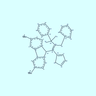 CC(C)(C)c1ccc2c(c1)-c1cc(C(C)(C)C)ccc1[CH]2[Zr]([C]1=CC=CC1)=[C](Cc1ccccc1)C(C)(C)c1ccccc1